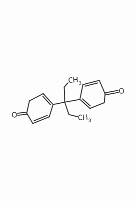 CCC(CC)(C1=CCC(=O)C=C1)C1=CCC(=O)C=C1